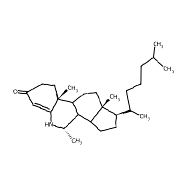 CC(C)CCCC(C)[C@H]1CCC2C3C(CC[C@@]21C)[C@@]1(C)CCC(=O)C=C1N[C@H]3C